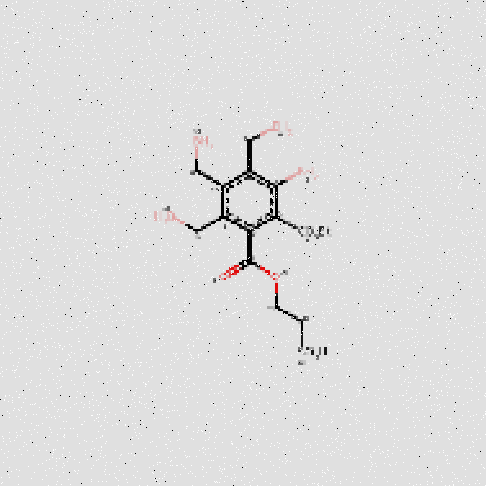 BCc1c(B)c(C(=O)OCC)c(C(=O)OCCS(=O)(=O)O)c(CB)c1CB